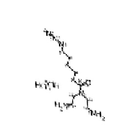 Cl.Cl.[N-]=[N+]=NCCCCCC(=O)N(CCN)CCN